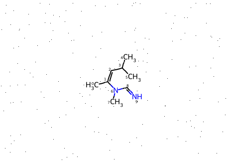 C/C(=C/C(C)C)N(C)C=N